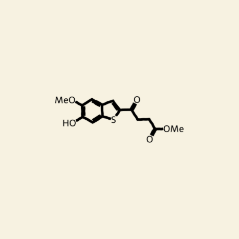 COC(=O)CCC(=O)c1cc2cc(OC)c(O)cc2s1